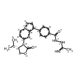 CC(=N)NNC(=O)c1ccc(-c2cnn3ccc(N4C(=O)OC[C@@H]4C(C)C)nc23)cc1